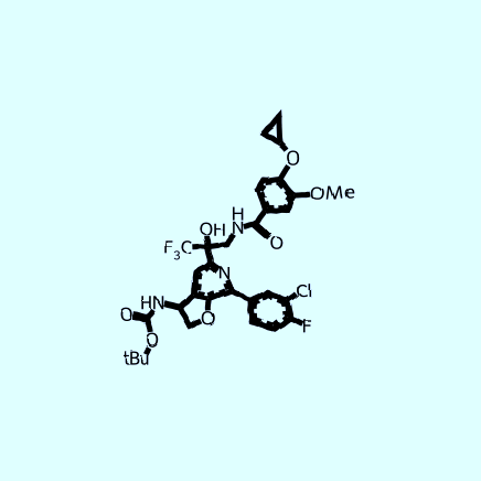 COc1cc(C(=O)NCC(O)(c2cc3c(c(-c4ccc(F)c(Cl)c4)n2)OCC3NC(=O)OC(C)(C)C)C(F)(F)F)ccc1OC1CC1